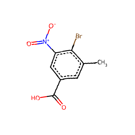 Cc1cc(C(=O)O)cc([N+](=O)[O-])c1Br